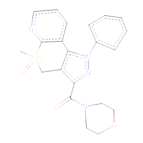 C[SH]1(=O)Cc2c(C(=O)N3CCOCC3)nn(-c3ccccc3)c2-c2cccnc21